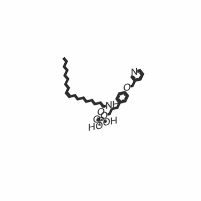 CCCCCCCC/C=C\CCCCCCCC(=O)NC(COP(=O)(O)O)Cc1ccc(OCc2cccnc2)cc1